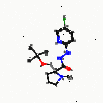 CC(C)[Si](OC[C@@]1(C(=O)NNc2ccc(F)cn2)CCCN1C)(C(C)C)C(C)C